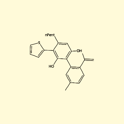 C=C(C)c1ccc(C)cc1-c1c(O)cc(CCCCC)c(-c2cccs2)c1O